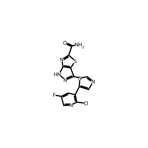 NC(=O)c1nc2[nH]nc(-n3cncc3-c3cc(F)cnc3Cl)c2s1